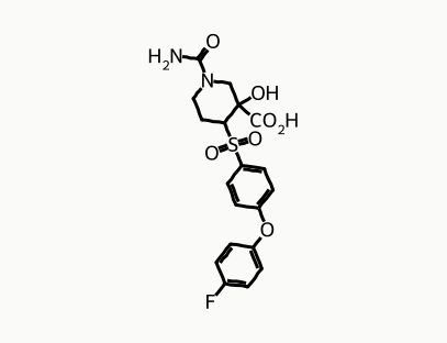 NC(=O)N1CCC(S(=O)(=O)c2ccc(Oc3ccc(F)cc3)cc2)C(O)(C(=O)O)C1